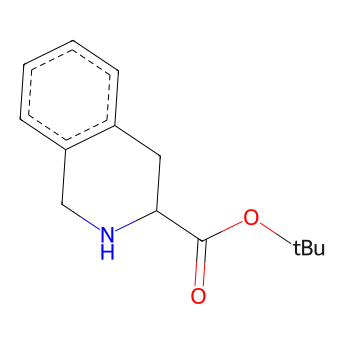 CC(C)(C)OC(=O)C1Cc2ccccc2CN1